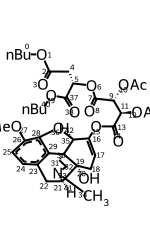 CCCCOC(=O)C[C@H](OC(=O)[C@H](OC(C)=O)[C@@H](OC(C)=O)C(=O)OC1=CC[C@@]2(O)[C@H]3Cc4ccc(OC)c5c4[C@@]2(CCN3C)[C@H]1O5)C(=O)OCCCC